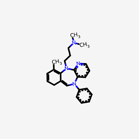 CC1=C2C(=CN(c3ccccc3)c3cccnc3N2CCCN(C)C)CC=C1